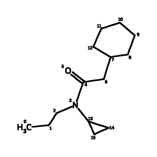 CCCN(C(=O)CC1CCCCC1)C1CC1